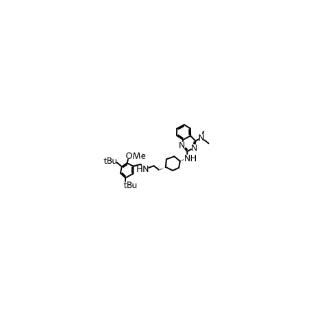 COc1c(CNCC[C@H]2CC[C@@H](Nc3nc(N(C)C)c4ccccc4n3)CC2)cc(C(C)(C)C)cc1C(C)(C)C